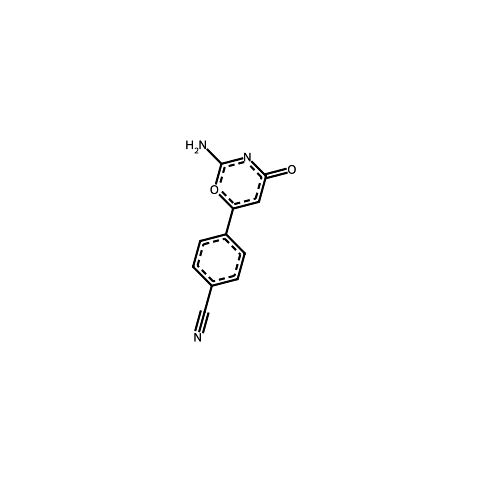 N#Cc1ccc(-c2cc(=O)nc(N)o2)cc1